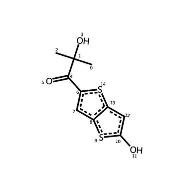 CC(C)(O)C(=O)c1cc2sc(O)cc2s1